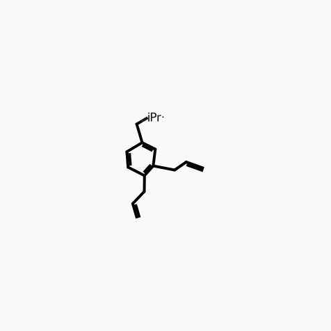 C=CCc1ccc(C[C](C)C)cc1CC=C